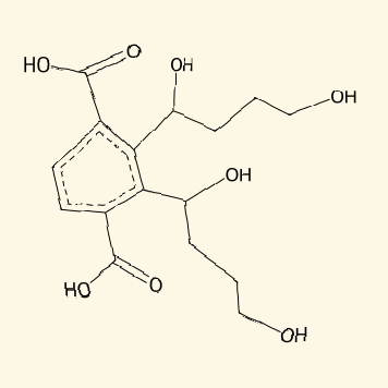 O=C(O)c1ccc(C(=O)O)c(C(O)CCCO)c1C(O)CCCO